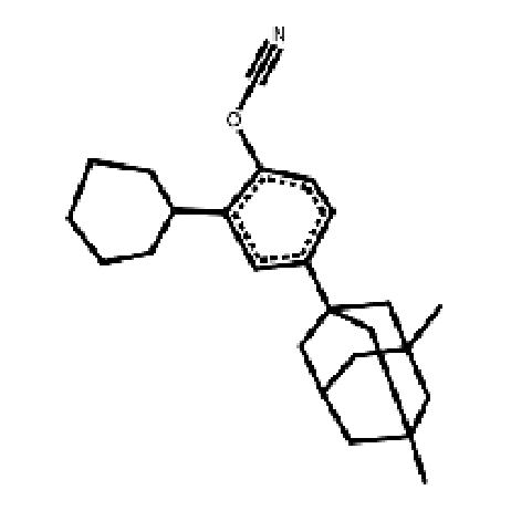 CC12CC3CC(C)(C1)CC(c1ccc(OC#N)c(C4CCCCC4)c1)(C3)C2